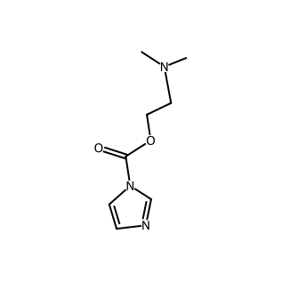 CN(C)CCOC(=O)n1ccnc1